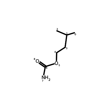 C[C](C)CCOC(N)=O